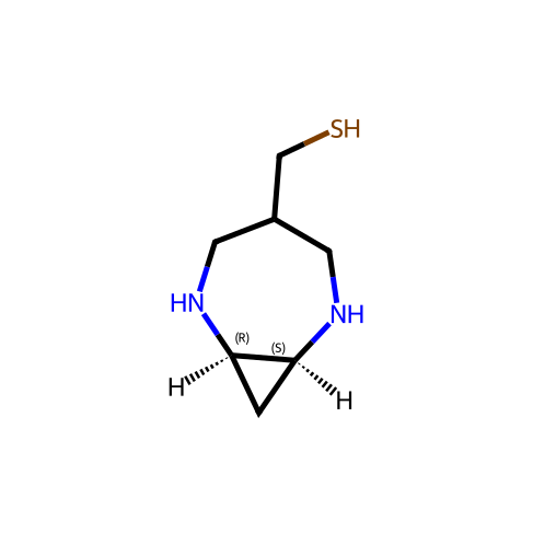 SCC1CN[C@H]2C[C@H]2NC1